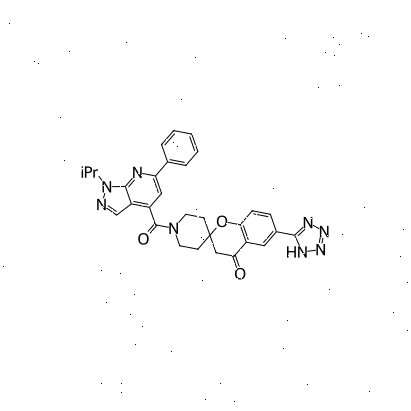 CC(C)n1ncc2c(C(=O)N3CCC4(CC3)CC(=O)c3cc(-c5nnn[nH]5)ccc3O4)cc(-c3ccccc3)nc21